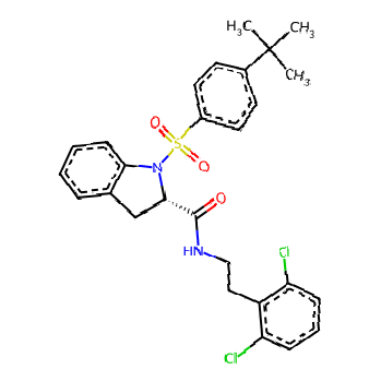 CC(C)(C)c1ccc(S(=O)(=O)N2c3ccccc3C[C@H]2C(=O)NCCc2c(Cl)cccc2Cl)cc1